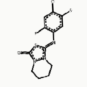 O=c1sc(=Nc2cc([S])c(Cl)cc2F)n2n1CCCC2